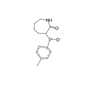 Cc1ccc([S+]([O-])C2CCCCNC2=O)cc1